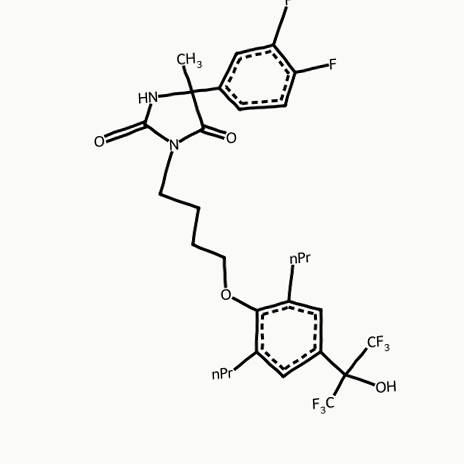 CCCc1cc(C(O)(C(F)(F)F)C(F)(F)F)cc(CCC)c1OCCCCN1C(=O)NC(C)(c2ccc(F)c(F)c2)C1=O